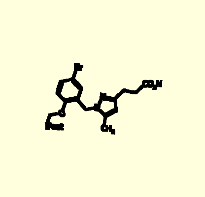 CCCC(C)COc1ccc(Br)cc1Cn1nc(CCC(=O)O)cc1C